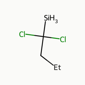 CCCC([SiH3])(Cl)Cl